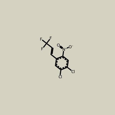 O=[N+]([O-])c1cc(Cl)c(Cl)cc1C=CC(F)(F)F